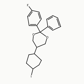 Fc1ccc(C2(c3ccccc3)OCC(C3CCC(I)CC3)CO2)cc1